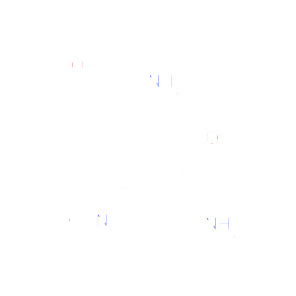 NC(=O)c1conc1C(N)=O